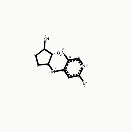 N#CC1CCC(Nc2cc(Br)ncc2[N+](=O)[O-])C1